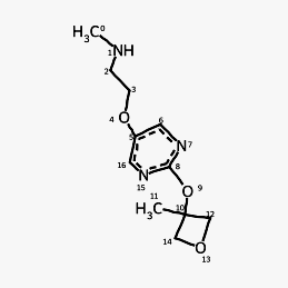 CNCCOc1cnc(OC2(C)COC2)nc1